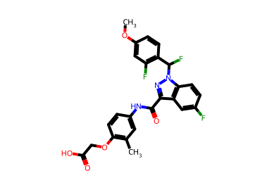 COc1ccc(C(F)n2nc(C(=O)Nc3ccc(OCC(=O)O)c(C)c3)c3cc(F)ccc32)c(F)c1